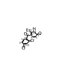 CCc1[nH]c(=O)ccc1C(=O)c1ccc(Cl)cc1Cl